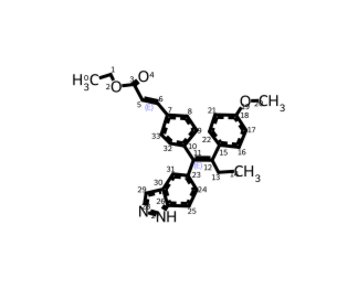 CCOC(=O)/C=C/c1ccc(/C(=C(/CC)c2ccc(OC)cc2)c2ccc3[nH]ncc3c2)cc1